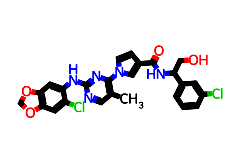 Cc1cnc(Nc2cc3c(cc2Cl)OCO3)nc1-n1ccc(C(=O)NC(CO)c2cccc(Cl)c2)c1